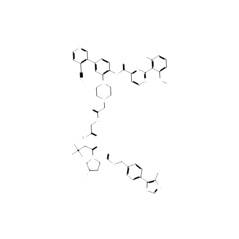 COc1cccc(F)c1-c1nccc(C(=O)Nc2ccc(-c3cnccc3C#N)cc2N2CCN(CC(=O)NCC(=O)N[C@H](C(=O)N3C[C@H](O)C[C@H]3C(=O)NCc3ccc(-c4scnc4C)cc3)C(C)(C)C)CC2)n1